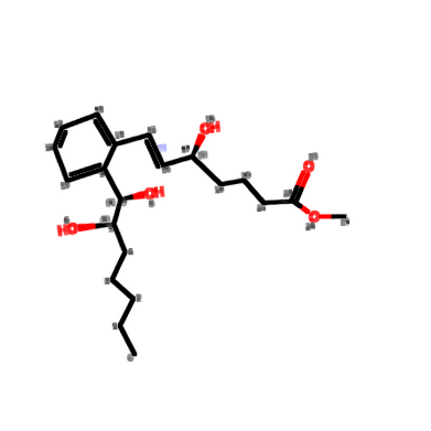 CCCCC[C@@H](O)[C@H](O)c1ccccc1/C=C/[C@@H](O)CCCC(=O)OC